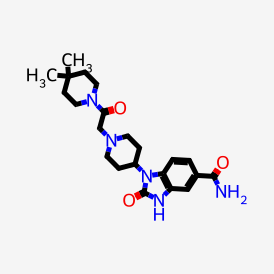 CC1(C)CCN(C(=O)CN2CCC(n3c(=O)[nH]c4cc(C(N)=O)ccc43)CC2)CC1